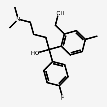 Cc1ccc(C(O)(CCCN(C)C)c2ccc(F)cc2)c(CO)c1